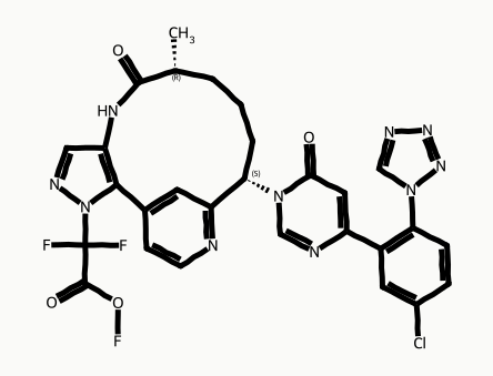 C[C@@H]1CCC[C@H](n2cnc(-c3cc(Cl)ccc3-n3cnnn3)cc2=O)c2cc(ccn2)-c2c(cnn2C(F)(F)C(=O)OF)NC1=O